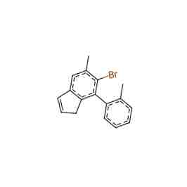 Cc1ccccc1-c1c(Br)c(C)cc2c1CC=C2